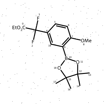 CCOC(=O)C(F)(F)c1ccc(OC)c(B2OC(C)(C)C(C)(C)O2)c1